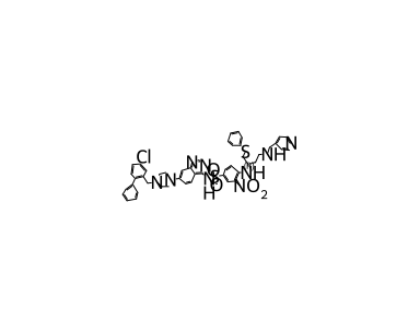 O=[N+]([O-])c1cc(S(=O)(=O)Nc2ncnc3cc(N4CCN(Cc5cc(Cl)ccc5-c5ccccc5)CC4)ccc23)ccc1N[C@H](CCNCc1ccncc1)CSc1ccccc1